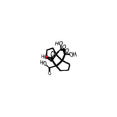 O=C(O)C1(C2(C(=O)O)CCCC2(C(=O)O)C(=O)O)CCCC1